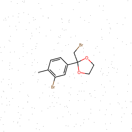 Cc1ccc(C2(CBr)OCCO2)cc1Br